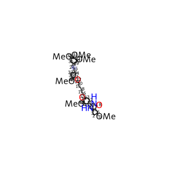 COc1ccc2c(c1)C(=O)NC(c1ccc(OCCCCCCOc3cc(/C=C/c4cc(OC)c(OC)c(OC)c4)ccc3OC)c(OC)c1)N2